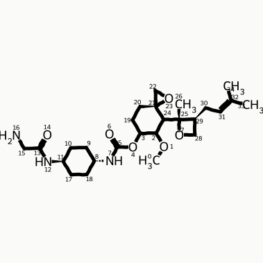 COC1C(OC(=O)N[C@H]2CC[C@H](NC(=O)CN)CC2)CC[C@]2(CO2)C1[C@@]1(C)OC[C@@H]1CC=C(C)C